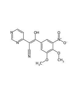 COc1cc(/C(O)=C(\C#N)c2ccncn2)cc([N+](=O)[O-])c1OC